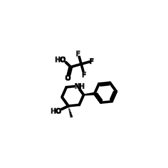 C[C@]1(O)CCN[C@@H](c2ccccc2)C1.O=C(O)C(F)(F)F